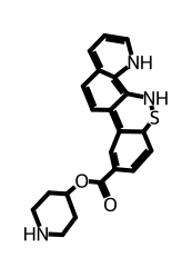 O=C(OC1CCNCC1)C1=CC2=c3ccc4c(c3NSC2C=C1)NC=CC=4